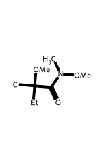 CCC(Cl)(OC)C(=O)N(C)OC